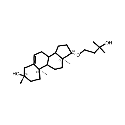 CC(C)(O)CCO[C@H]1CCC2C3CC=C4C[C@@](C)(O)CC[C@]4(C)C3CC[C@@]21C